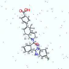 CC1(C)C(c2ccc(C(=O)O)cc2)=CC[C@]2(C)CN(C(=O)c3ccccc3-c3nc4cc(F)ccc4[nH]3)CC=C12